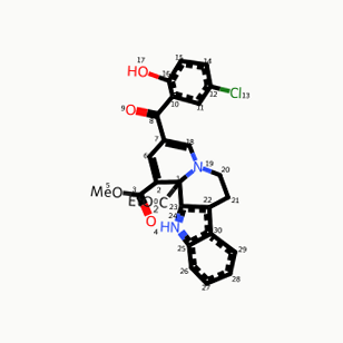 CCOC(=O)C12C(C(=O)OC)=CC(C(=O)c3cc(Cl)ccc3O)=CN1CCc1c2[nH]c2ccccc12